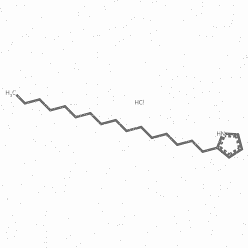 CCCCCCCCCCCCCCCCc1ccc[nH]1.Cl